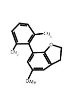 COc1cc2c(c(-c3c(C)cccc3C)c1)O[CH]C2